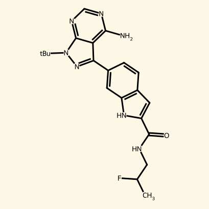 CC(F)CNC(=O)c1cc2ccc(-c3nn(C(C)(C)C)c4ncnc(N)c34)cc2[nH]1